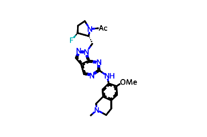 COc1cc2c(cc1Nc1ncc3cnn(C[C@@H]4[C@@H](F)CCN4C(C)=O)c3n1)CN(C)CC2